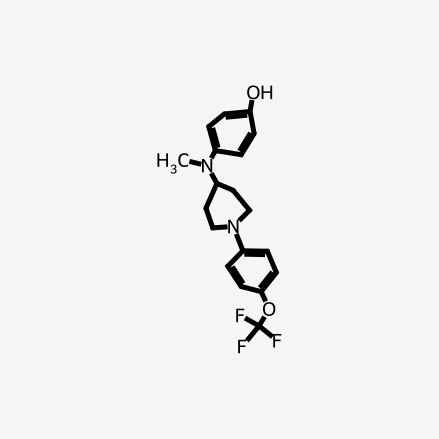 CN(c1ccc(O)cc1)C1CCN(c2ccc(OC(F)(F)F)cc2)CC1